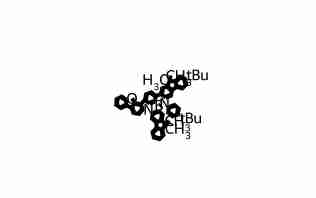 CC(C)(C)c1ccc(N2B3c4cc5c(cc4-n4c6ccc7c8ccccc8oc7c6c6ccc(c3c64)-c3cc4c(cc32)-c2ccc(C(C)(C)C)cc2C4(C)C)-c2ccccc2C5(C)C)cc1